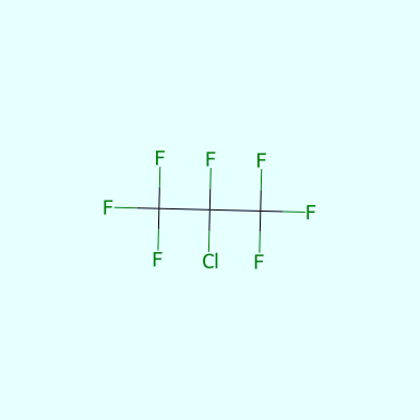 FC(F)(F)C(F)(Cl)C(F)(F)F